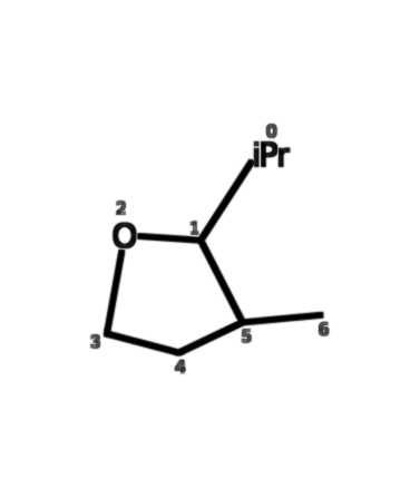 CC(C)C1OCCC1C